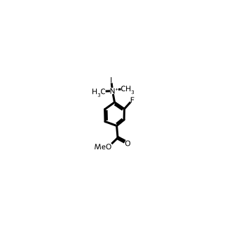 COC(=O)c1ccc([N+](C)(C)I)c(F)c1